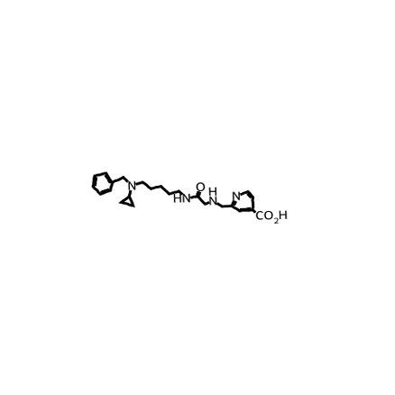 O=C(CNCc1cc(C(=O)O)ccn1)NCCCCCN(Cc1ccccc1)C1CC1